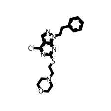 Clc1nc(SCCN2CCOCC2)nc2c1cnn2CCc1ccccc1